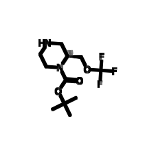 CC(C)(C)OC(=O)N1CCNC[C@H]1COC(F)(F)F